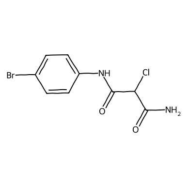 NC(=O)C(Cl)C(=O)Nc1ccc(Br)cc1